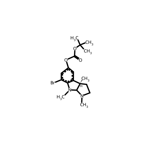 CN1CC[C@]2(C)c3cc(OC(=O)OC(C)(C)C)cc(Br)c3N(C)C12